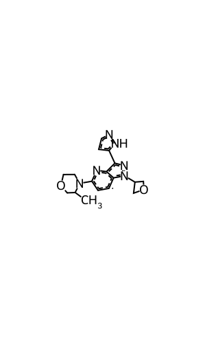 CC1COCCN1c1c[c]c2c(n1)c(-c1ccn[nH]1)nn2C1COC1